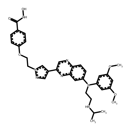 COc1cc(OC)cc(N(CCNC(C)C)c2ccc3ncc(-c4cnn(CCOc5ccc(C(=O)NO)cc5)c4)nc3c2)c1